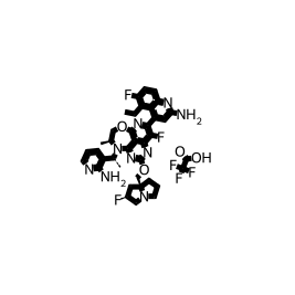 CCc1c(F)ccc2nc(N)cc(-c3nc4c5c(nc(OC[C@@]67CCCN6C[C@H](F)C7)nc5c3F)N([C@H](C)c3cccnc3N)[C@@H](C)CO4)c12.O=C(O)C(F)(F)F